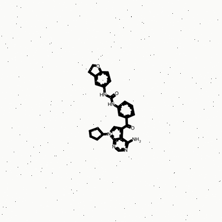 Nc1ncnc2c1c(C(=O)c1cccc(NC(=O)Nc3ccc4c(c3)CCO4)c1)cn2C1CCCC1